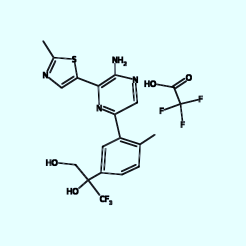 Cc1ncc(-c2nc(-c3cc(C(O)(CO)C(F)(F)F)ccc3C)cnc2N)s1.O=C(O)C(F)(F)F